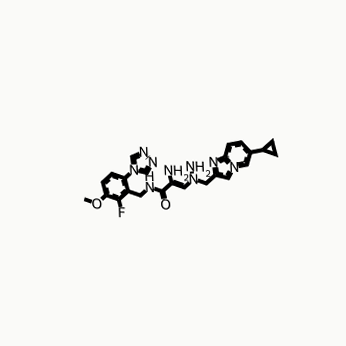 COc1ccc(-n2cnnc2)c(CNC(=O)/C(N)=C/N(N)Cc2cn3cc(C4CC4)ccc3n2)c1F